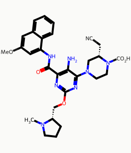 COc1cc(NC(=O)c2nc(OC[C@@H]3CCCN3C)nc(N3CCN(C(=O)O)[C@@H](CC#N)C3)c2N)c2ccccc2c1